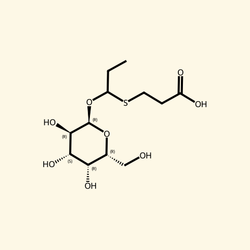 CCC(O[C@H]1O[C@H](CO)[C@H](O)[C@H](O)[C@H]1O)SCCC(=O)O